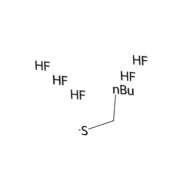 CCCCC[S].F.F.F.F.F